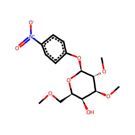 COC[C@H]1O[C@@H](Oc2ccc([N+](=O)[O-])cc2)[C@H](OC)[C@@H](OC)[C@H]1O